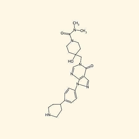 CN(C)C(=O)N1CCC(O)(Cn2cnc3c(cnn3-c3ccc(C4CCNCC4)cc3)c2=O)CC1